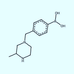 CC1CN(Cc2ccc(B(O)O)cc2)CCN1